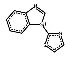 [C]1=Nc2ccccc2[SH]1c1nccs1